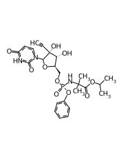 C#C[C@]1(O)C(n2ccc(=O)[nH]c2=O)O[C@H](COP(=O)(NC(C)(C)C(=O)OC(C)C)Oc2ccccc2)[C@H]1O